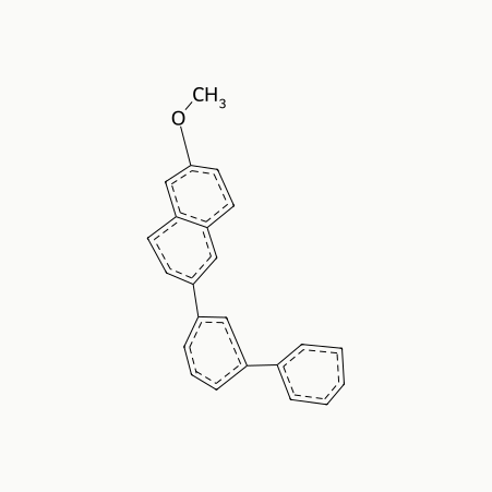 COc1ccc2cc(-c3cccc(-c4ccccc4)c3)ccc2c1